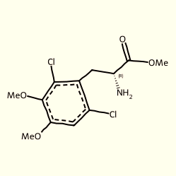 COC(=O)[C@H](N)Cc1c(Cl)cc(OC)c(OC)c1Cl